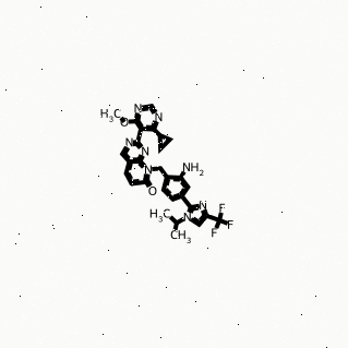 COc1ncnc(C2CC2)c1-c1ncc2ccc(=O)n(Cc3ccc(-c4nc(C(F)(F)F)cn4C(C)C)cc3N)c2n1